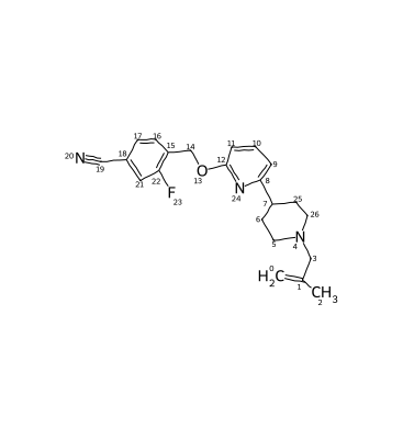 C=C(C)CN1CCC(c2cccc(OCc3ccc(C#N)cc3F)n2)CC1